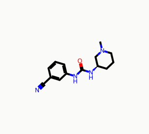 CN1CCC[C@@H](NC(=O)Nc2cccc(C#N)c2)C1